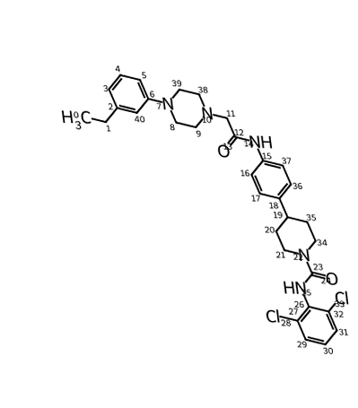 CCc1cccc(N2CCN(CC(=O)Nc3ccc(C4CCN(C(=O)Nc5c(Cl)cccc5Cl)CC4)cc3)CC2)c1